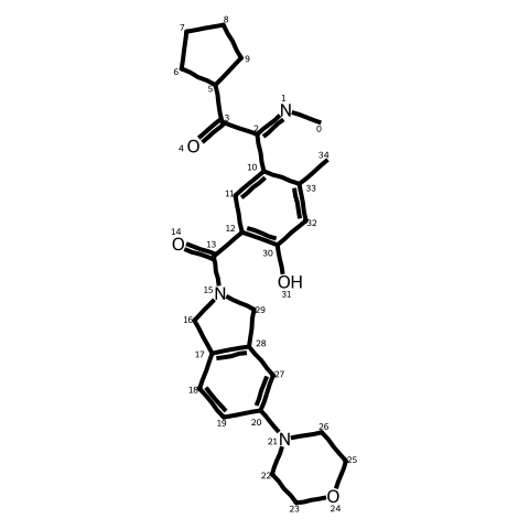 C/N=C(/C(=O)C1CCCC1)c1cc(C(=O)N2Cc3ccc(N4CCOCC4)cc3C2)c(O)cc1C